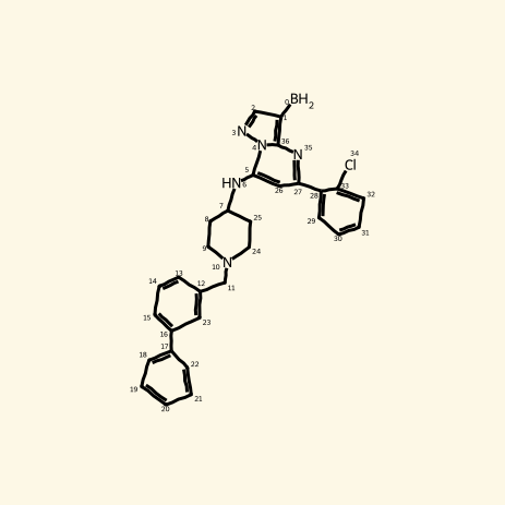 Bc1cnn2c(NC3CCN(Cc4cccc(-c5ccccc5)c4)CC3)cc(-c3ccccc3Cl)nc12